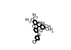 CC1(C)CC(=O)C2=C(C1)NC1=C(C(=O)CC(C)(C)C1)C2c1cccc(Oc2ccc(Cl)cc2)c1